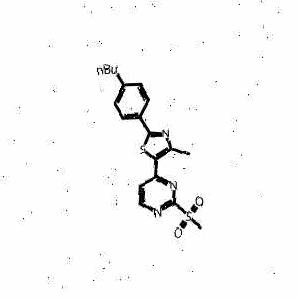 CCCCc1ccc(-c2nc(C)c(-c3ccnc(S(C)(=O)=O)n3)s2)cc1